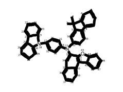 CC1(C)c2ccccc2-c2ccc(N(c3ccc(-n4c5ccccc5c5ccccc54)cc3)c3cc4ccccc4c4c3oc3ccccc34)cc21